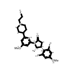 COc1cc(C2CCN(CCF)CC2)nc(N2C(=O)C[C@H](c3c(F)cc(OC)cc3F)[C@@H]2C)c1